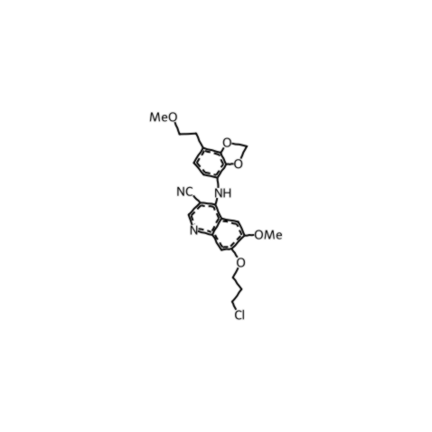 COCCc1ccc(Nc2c(C#N)cnc3cc(OCCCCl)c(OC)cc23)c2c1OCO2